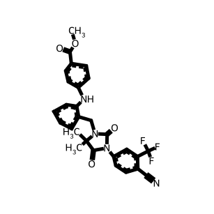 COC(=O)c1ccc(Nc2ccccc2CN2C(=O)N(c3ccc(C#N)c(C(F)(F)F)c3)C(=O)C2(C)C)cc1